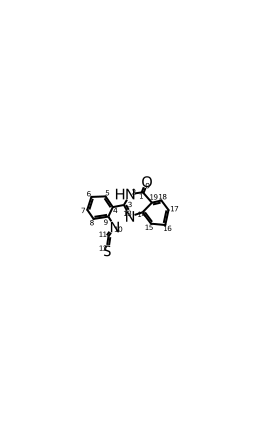 O=c1[nH]c(-c2ccccc2N=C=S)nc2ccccc12